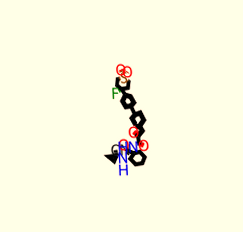 N#CC1(NC(=O)C2(NC(=O)c3cc4ccc(-c5ccc(C6(F)CCS(=O)(=O)CC6)cc5)cc4o3)CCCCC2)CC1